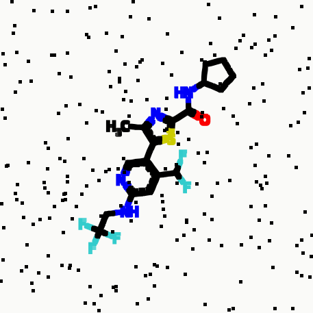 Cc1nc(C(=O)NC2CCCC2)sc1-c1cnc(NCC(F)(F)F)cc1C(F)F